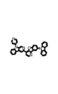 C1=CC2c3ccccc3N(c3ccc4oc5c(-c6cc7c8ccccc8n(-c8ccncc8)c7cn6)ccnc5c4c3)C2C=C1